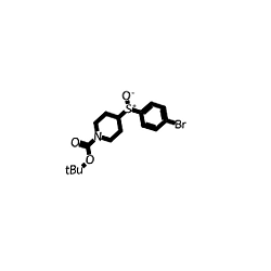 CC(C)(C)OC(=O)N1CCC([S+]([O-])c2ccc(Br)cc2)CC1